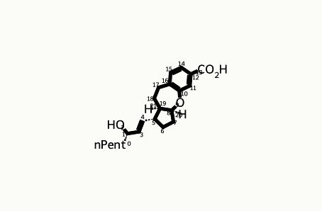 CCCCC[C@H](O)/C=C/[C@H]1CC[C@@H]2Oc3cc(C(=O)O)ccc3CC[C@@H]21